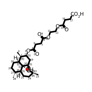 C[C@H]1[C@@H](OC(=O)CCC(=O)OCCOC(=O)CCC(=O)O)C[C@@H]2O[C@@]3(C)CC[C@H]4[C@H](C)CC[C@@H]1[C@@]24OO3